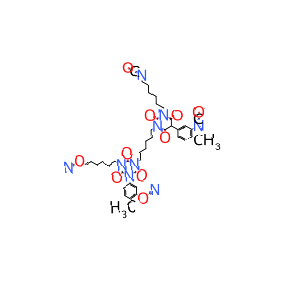 Cc1ccc(C2C(=O)N(CCCCCCN=C=O)C(=O)N(CCCCCCn3c(=O)n(CCCCCCOC#N)c(=O)n(-c4ccc(C)c(OC#N)c4)c3=O)C2=O)cc1N=C=O